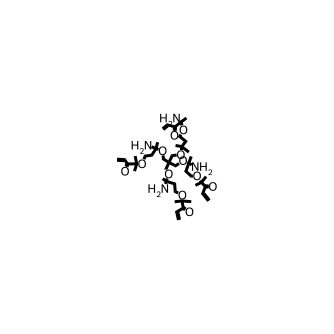 C=CC(=O)C(C)(C)OCCC(C)(N)OCC(COC(C)(C)CCOC(C)(N)C(=O)C=C)(COC(C)(N)CCOC(C)(C)C(=O)C=C)COC(C)(N)CCOC(C)(C)C(=O)C=C